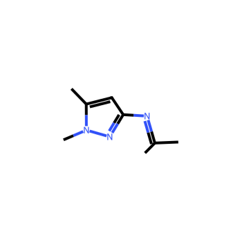 CC(C)=Nc1cc(C)n(C)n1